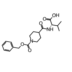 CC(C)[C@H](NC(=O)C1CCN(C(=O)OCc2ccccc2)CC1)C(=O)O